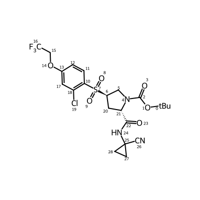 CC(C)(C)OC(=O)N1C[C@H](S(=O)(=O)c2ccc(OCC(F)(F)F)cc2Cl)C[C@H]1C(=O)NC1(C#N)CC1